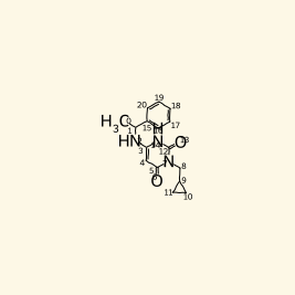 CC(Nc1cc(=O)n(CC2CC2)c(=O)[nH]1)c1ccccc1